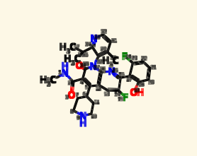 CNC(=O)c1c(C2CCNCC2)c2cc(F)c(-c3c(O)cccc3F)nc2n(-c2c(C)ccnc2C(C)C)c1=O